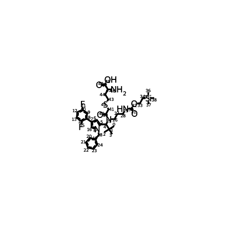 CC(C)(C)C(c1cc(-c2cc(F)ccc2F)cn1Cc1ccccc1)N(CCCNC(=O)OCC[Si](C)(C)C)C(=O)CSCCC(N)C(=O)O